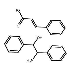 NC(c1ccccc1)C(O)c1ccccc1.O=C(O)C=Cc1ccccc1